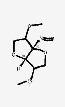 C=N[C@@]12OCC(OC)[C@@H]1OCC2OC